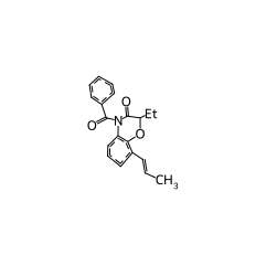 CC=Cc1cccc2c1OC(CC)C(=O)N2C(=O)c1ccccc1